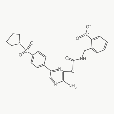 Nc1ncc(-c2ccc(S(=O)(=O)N3CCCC3)cc2)nc1OC(=O)NCc1ccccc1[N+](=O)[O-]